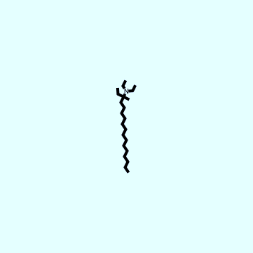 CCCCCCCCCCCCCCC(C)(CC)N(CC)CC